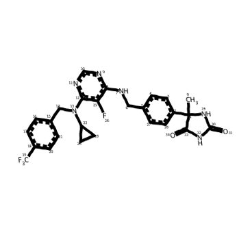 CC1(c2ccc(CNc3ncnc(N(Cc4ccc(C(F)(F)F)cc4)C4CC4)c3F)cc2)NC(=O)NC1=O